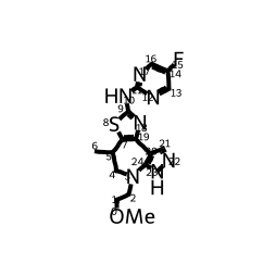 COCCN1CC(C)c2sc(Nc3ncc(F)cn3)nc2-c2cn[nH]c21